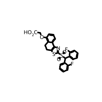 O=C(O)COc1cccc2c1CCc1sc(S(=O)(=O)C(c3ccccc3F)c3ccccc3F)nc1-2